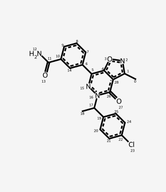 Cc1noc2c(-c3cccc(C(N)=O)c3)nn(C(C)c3ccc(Cl)cc3)c(=O)c12